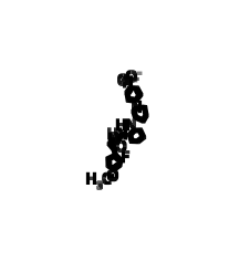 COc1ccc(-c2cnc(N[C@@H]3CCCC[C@H]3N[C@H]3CCCN(c4ccc([N+](=O)[O-])cc4)C3)o2)c(F)c1